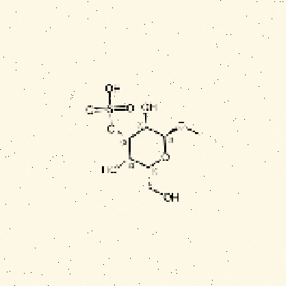 CO[C@H]1O[C@H](CO)[C@H](O)[C@H](OS(=O)(=O)O)[C@H]1O